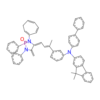 C=C1/C(=C\C=C(/C)c2cccc(N(c3ccc(-c4ccccc4)cc3)c3ccc4c(c3)C(C)(C)c3ccccc3-4)c2)N(C2=CCC=CC=C2)P(=O)(c2ccccc2)N1c1ccccc1